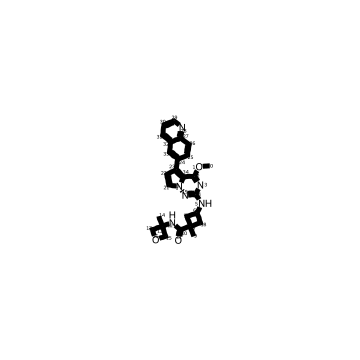 COc1nc(NC2CC(C)(C(=O)NC3(C)COC3)C2)nn2ccc(-c3ccc4ncccc4c3)c12